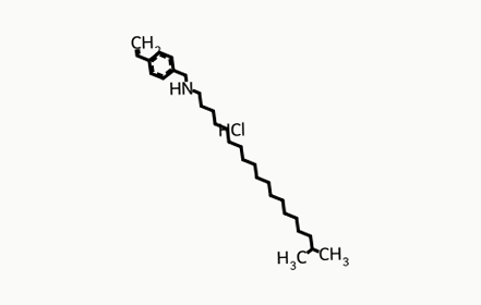 C=Cc1ccc(CNCCCCCCCCCCCCCCCCCC(C)C)cc1.Cl